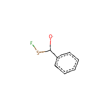 [O]C(SF)c1ccccc1